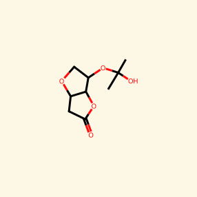 CC(C)(O)OC1COC2CC(=O)OC21